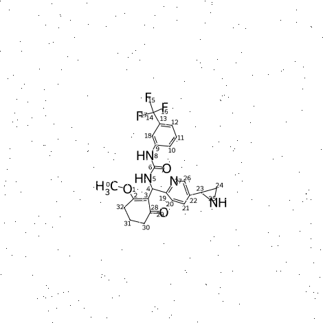 COC1=C(C(NC(=O)Nc2cccc(C(F)(F)F)c2)c2ccc(C3CN3)cn2)C(=O)CCC1